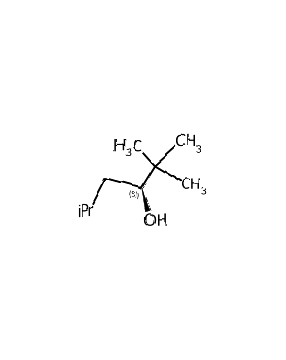 CC(C)C[C@H](O)C(C)(C)C